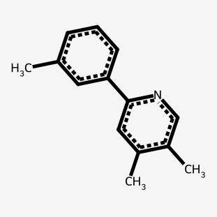 Cc1cccc(-c2cc(C)c(C)cn2)c1